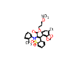 CCc1ccc(C2=C(C(=O)OCCCO[N+](=O)[O-])N(c3ccccc3C(F)(F)F)S(=O)(=O)C3C=CC=CC23)c2c1OCO2